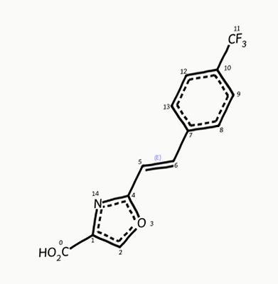 O=C(O)c1coc(/C=C/c2ccc(C(F)(F)F)cc2)n1